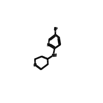 Brc1ccc(NC2CCOCC2)nc1